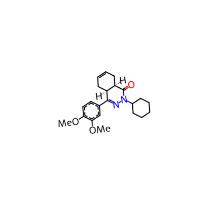 COc1ccc(C2=NN(C3CCCCC3)C(=O)[C@@H]3CC=CC[C@H]23)cc1OC